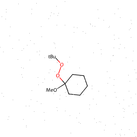 COC1(OOC(C)(C)C)CCCCC1